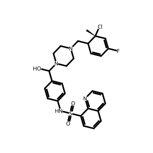 C[C@@]1(Cl)C=C(F)C=CC1CN1CCN(C(O)c2ccc(NS(=O)(=O)c3cccc4cccnc34)cc2)CC1